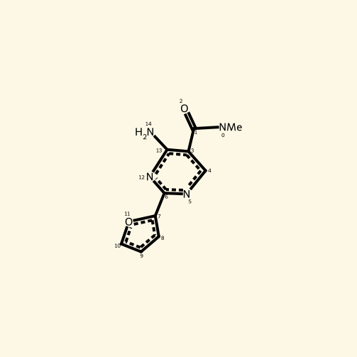 CNC(=O)c1cnc(-c2ccco2)nc1N